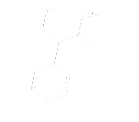 CCCSC(C(=O)OC)c1ccccc1